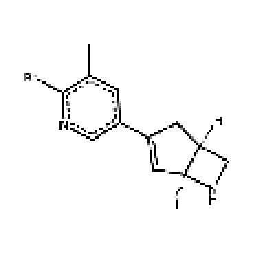 Cc1cc(C2=C[C@@H]3NC[C@@H]3C2)cnc1Br